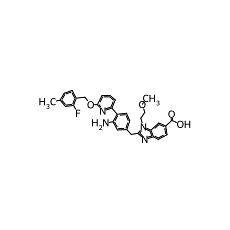 COCCn1c(Cc2ccc(-c3cccc(OCc4ccc(C)cc4F)n3)c(N)c2)nc2ccc(C(=O)O)cc21